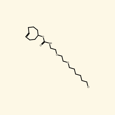 O=C(NCCOCCOCCCCCCCl)OC1CC/C=C/CCC1